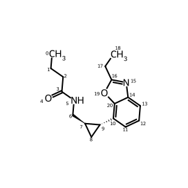 CCCC(=O)NC[C@@H]1C[C@H]1c1cccc2nc(CC)oc12